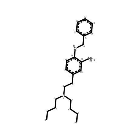 CCCCN(CCCC)CCc1ccc(OCc2ccccc2)c(N)c1